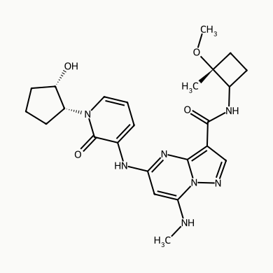 CNc1cc(Nc2cccn([C@@H]3CCC[C@@H]3O)c2=O)nc2c(C(=O)NC3CC[C@@]3(C)OC)cnn12